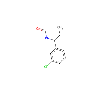 CCC(NC=O)c1cccc(Cl)c1